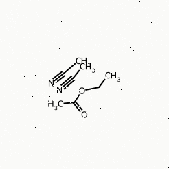 CC#N.CC#N.CCOC(C)=O